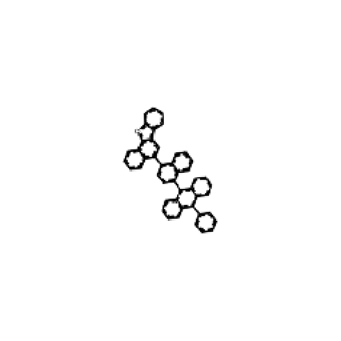 c1ccc(-c2c3ccccc3c(-c3ccc(-c4cc5c6ccccc6oc5c5ccccc45)c4ccccc34)c3ccccc23)cc1